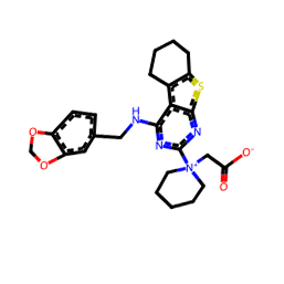 O=C([O-])C[N+]1(c2nc(NCc3ccc4c(c3)OCO4)c3c4c(sc3n2)CCCC4)CCCCC1